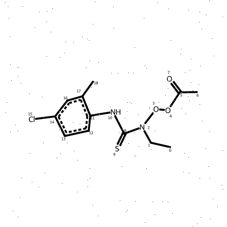 CCN(OOC(C)=O)C(=S)Nc1ccc(Cl)cc1C